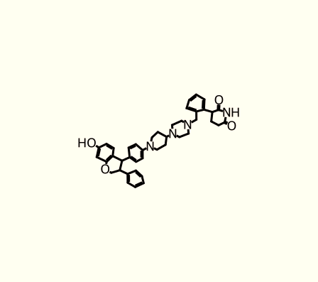 O=C1CCC(c2ccccc2CN2CCN(C3CCN(c4ccc(C5c6ccc(O)cc6OCC5c5ccccc5)cc4)CC3)CC2)C(=O)N1